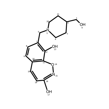 OCC1CCN(Cc2ccc3c(c2O)ON=C(O)C=C3)CC1